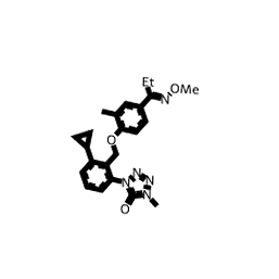 CC/C(=N\OC)c1ccc(OCc2c(C3CC3)cccc2-n2nnn(C)c2=O)c(C)c1